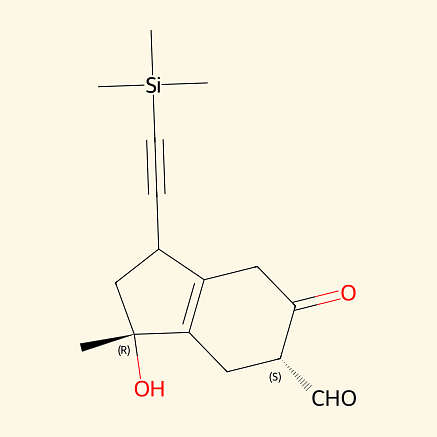 C[C@@]1(O)CC(C#C[Si](C)(C)C)C2=C1C[C@@H](C=O)C(=O)C2